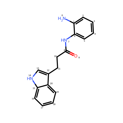 Nc1ccccc1NC(=O)CCc1c[nH]c2ccccc12